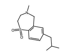 CC(C)Cc1ccc2c(c1)CN(C)CCS2(=O)=O